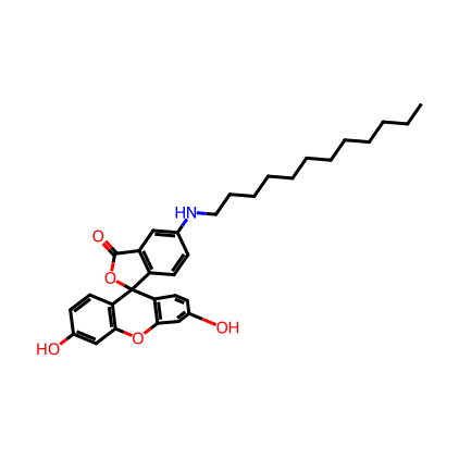 CCCCCCCCCCCCNc1ccc2c(c1)C(=O)OC21c2ccc(O)cc2Oc2cc(O)ccc21